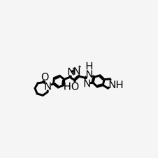 Cn1nc(-c2ccc(N3CCCCCC3=O)cc2)c(O)c1-c1nc2cc3c(cc2[nH]1)CNC3